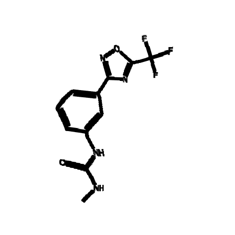 CNC(=O)Nc1cccc(-c2noc(C(F)(F)F)n2)c1